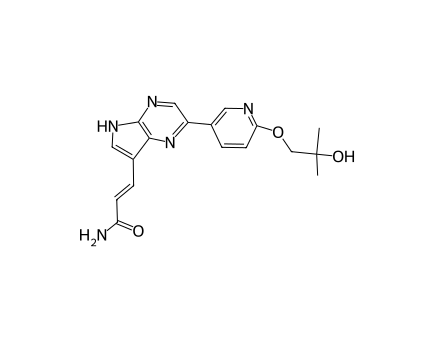 CC(C)(O)COc1ccc(-c2cnc3[nH]cc(/C=C/C(N)=O)c3n2)cn1